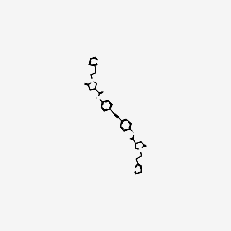 O=C(Nc1ccc(C#Cc2ccc(NC(=O)C3CC(=O)N(CCc4cccs4)C3)cc2)cc1)C1CC(=O)N(CCc2cccs2)C1